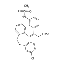 COCC(=C1c2ccccc2CCc2cc(Cl)ccc21)c1cccc(NS(C)(=O)=O)c1